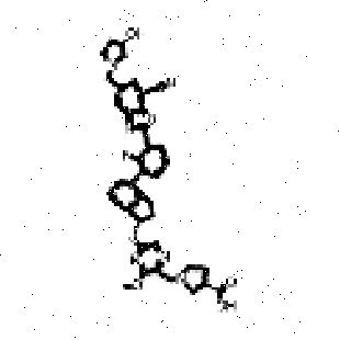 COc1nc(O[C@@H]2CCc3c(-c4cccc(-c5nc6cc(CN7CC[C@@H](O)C7)cc(C#N)c6o5)c4F)cccc32)cnc1CN1CC[C@@H](C(=O)O)C1